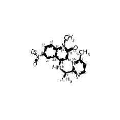 Cc1ccnc(C(C)Nc2cc(=O)n(C)c3ccc([N+](=O)[O-])cc23)n1